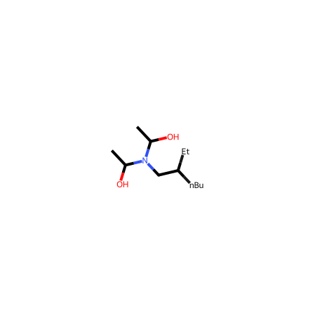 CCCCC(CC)CN(C(C)O)C(C)O